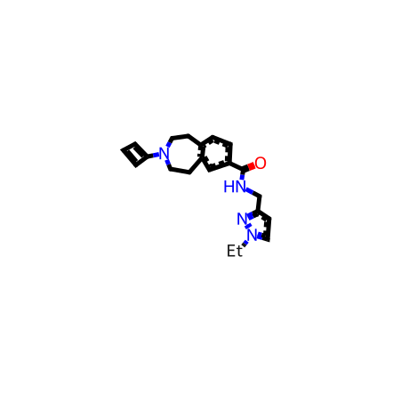 CCn1ccc(CNC(=O)c2ccc3c(c2)CCN(C2=CC=C2)CC3)n1